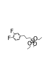 CCO[Si](CCCc1ccc(F)c(F)c1)(OC)OCC